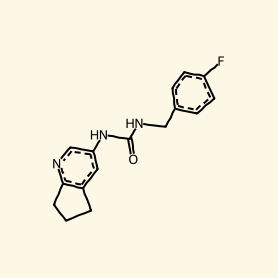 O=C(NCc1ccc(F)cc1)Nc1cnc2c(c1)CCC2